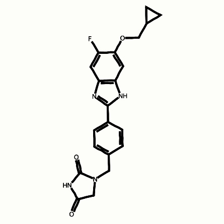 O=C1CN(Cc2ccc(-c3nc4cc(F)c(OCC5CC5)cc4[nH]3)cc2)C(=O)N1